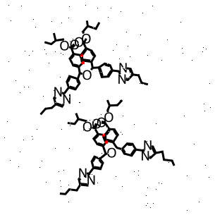 CCCCc1cnc(-c2ccc(C(OC(c3ccc(C(=O)OCC(C)CC)cc3)c3ccc(-c4ncc(CCCC)cn4)cc3)c3ccc(C(=O)OCC(C)CC)cc3)cc2)nc1.CCCc1cnc(-c2ccc(C(OC(c3ccc(C(=O)OCC(C)CC)cc3)c3ccc(-c4ncc(CCC)cn4)cc3)c3ccc(C(=O)OCC(C)CC)cc3)cc2)nc1